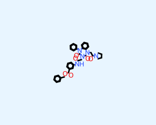 O=C(CN1C(=O)N(CC(=O)N2CCCC2)c2ccccc2N(c2ccccc2)C1=O)Nc1cccc(C(=O)OCc2ccccc2)c1